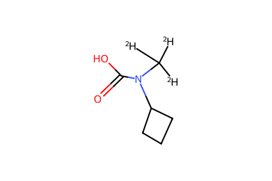 [2H]C([2H])([2H])N(C(=O)O)C1CCC1